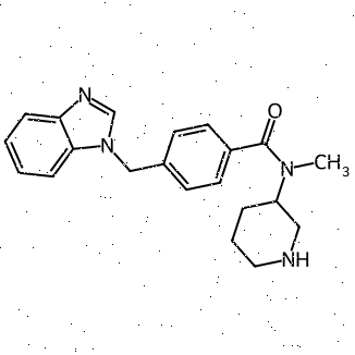 CN(C(=O)c1ccc(Cn2cnc3ccccc32)cc1)C1CCCNC1